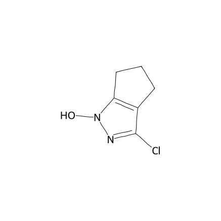 On1nc(Cl)c2c1CCC2